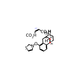 C1=CN(Oc2cccc3c2C[C@H]2NCC[C@@]34CCCC[C@@H]24)CS1.O=C(O)/C=C\C(=O)O